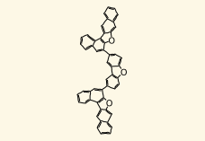 c1ccc2cc3c(cc2c1)oc1c(-c2ccc4oc5ccc(-c6cc7ccccc7c7c6oc6cc8ccccc8cc67)cc5c4c2)cc2ccccc2c13